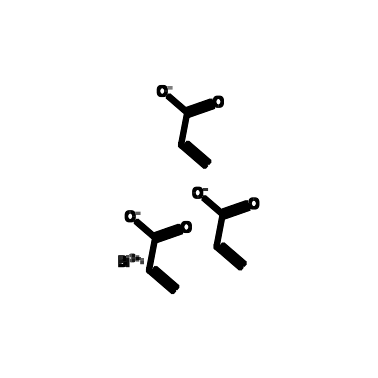 C=CC(=O)[O-].C=CC(=O)[O-].C=CC(=O)[O-].[Bi+3]